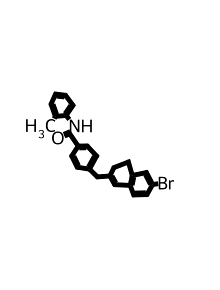 Cc1ccccc1NC(=O)c1ccc(CC2=Cc3ccc(Br)cc3CC2)cc1